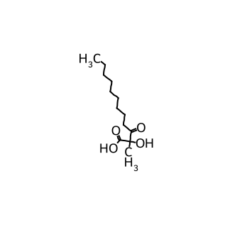 CCCCCCCCCC(=O)C(C)(O)C(=O)O